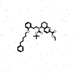 CCOC(=O)c1ccc2c(n1)CCCC2N(CCc1ccccc1OCCCCCc1ccccc1)C(=O)OC(C)(C)C